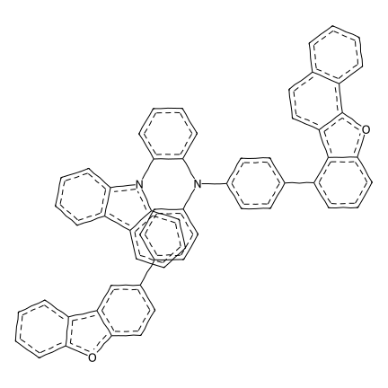 c1ccc(-n2c3ccccc3c3ccccc32)c(N(c2ccc(-c3ccc4oc5ccccc5c4c3)cc2)c2ccc(-c3cccc4oc5c6ccccc6ccc5c34)cc2)c1